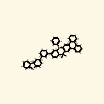 CC1(C)c2cc3c4ccccc4c4ccccc4c3cc2N(c2ccccc2)C2C=C(c3cccc(-c4ccc5sc6ccccc6c5c4)c3)C=CC21